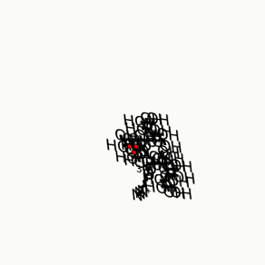 CC(OOOCCCCCN=[N+]=[N-])C(OC1OC(CO)C(O)C(O)C1OC1OC(CO)C(O)C(O)C1OC1OC(CO)C(O)C(O)C1O)C(O)CCOC1OC(COC2OC(CO)C(O)C(O)C2OC2OC(CO)C(O)C(O)C2O)C(O)C(OC2OC(CO)C(O)C(O)C2OC2OCC(O)C(O)C2=O)C1O